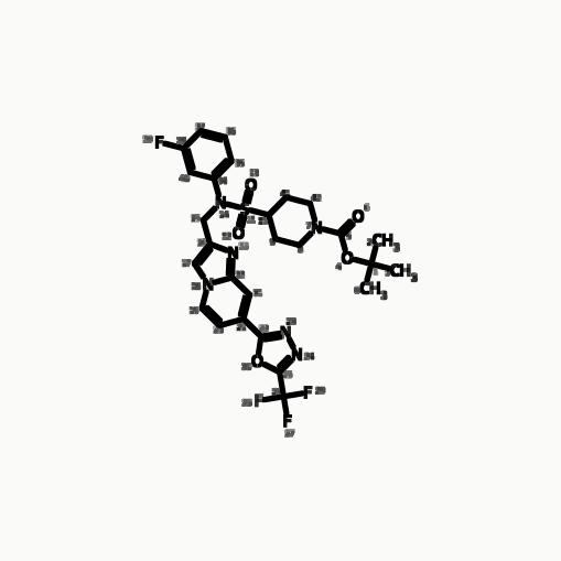 CC(C)(C)OC(=O)N1CCC(S(=O)(=O)N(Cc2cn3ccc(-c4nnc(C(F)(F)F)o4)cc3n2)c2cccc(F)c2)CC1